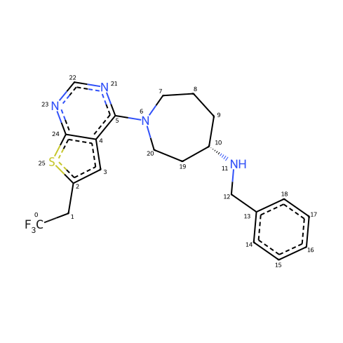 FC(F)(F)Cc1cc2c(N3CCC[C@H](NCc4ccccc4)CC3)ncnc2s1